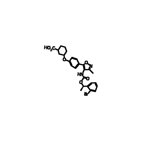 Cc1noc(-c2ccc(OC3CCCC(C(=O)O)C3)cc2)c1NC(=O)O[C@H](C)c1ccccc1Br